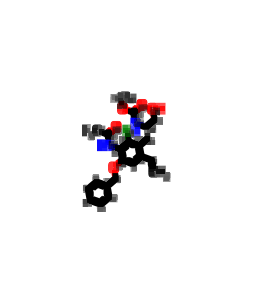 C=Cc1cc(OCc2ccccc2)c(NC(=O)C(F)(F)F)c(F)c1C[C@@H](CO)NC(=O)OC(C)(C)C